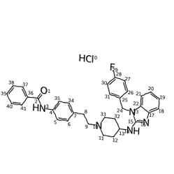 Cl.O=C(Nc1ccc(CCN2CCC(Nc3nc4ccccc4n3Cc3ccc(F)cc3)CC2)cc1)c1ccccc1